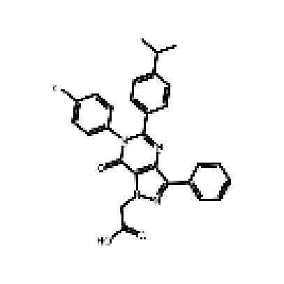 CC(C)c1ccc(-c2nc3c(-c4ccccc4)nn(CC(=O)O)c3c(=O)n2-c2ccc(Cl)cc2)cc1